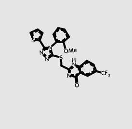 COc1ccccc1-n1c(SCc2nc(=O)c3cc(C(F)(F)F)ccc3[nH]2)nnc1-c1cccs1